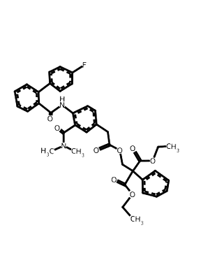 CCOC(=O)C(COC(=O)Cc1ccc(NC(=O)c2ccccc2-c2ccc(F)cc2)c(C(=O)N(C)C)c1)(C(=O)OCC)c1ccccc1